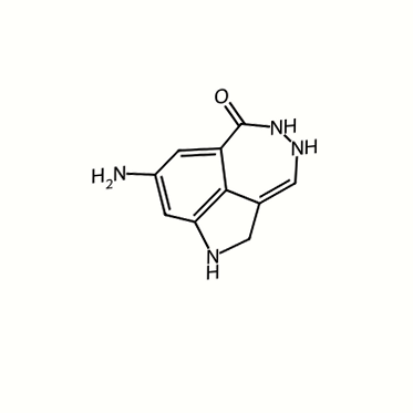 Nc1cc2c3c(c1)C(=O)NNC=C3CN2